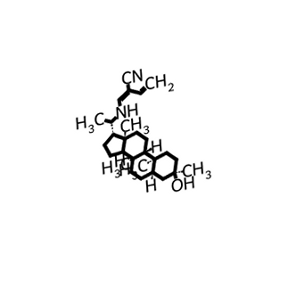 C=C/C(C#N)=C\NC(C)[C@H]1CC[C@H]2[C@]3(C)CC[C@@H]4C[C@](C)(O)CC[C@]4(C)[C@H]3CC[C@@]21C